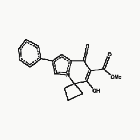 COC(=O)C1=C(O)C2(CCC2)n2cc(-c3ccccc3)cc2C1=O